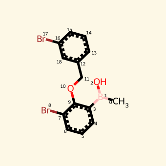 CB(O)c1cccc(Br)c1OCc1cccc(Br)c1